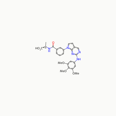 COc1cc(Nc2ncc3ccn(-c4cccc(C(=O)N[C@H](C)C(=O)O)c4)c3n2)cc(OC)c1OC